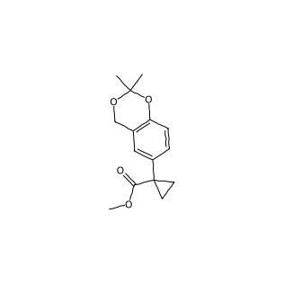 COC(=O)C1(c2ccc3c(c2)COC(C)(C)O3)CC1